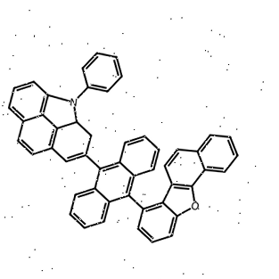 C1=C(c2c3ccccc3c(-c3cccc4oc5c6ccccc6ccc5c34)c3ccccc23)CC2c3c1ccc1cccc(c31)N2c1ccccc1